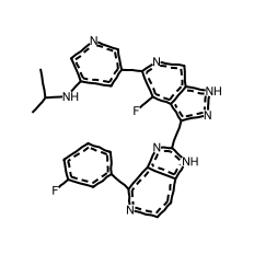 CC(C)Nc1cncc(-c2ncc3[nH]nc(-c4nc5c(-c6cccc(F)c6)nccc5[nH]4)c3c2F)c1